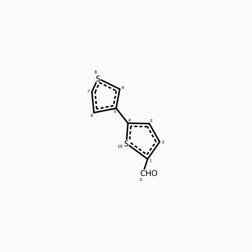 O=Cc1ccc(-c2ccsc2)s1